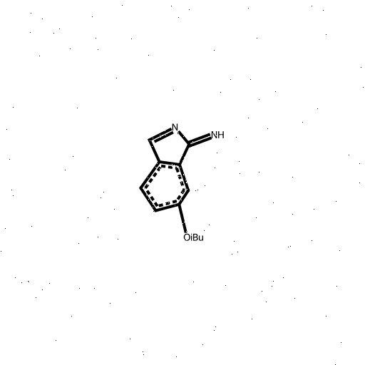 CC(C)COc1ccc2c(c1)C(=N)N=C2